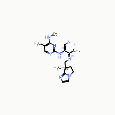 CCNc1nc(NC(=C/N)/C(C)=N\C[C@@]2(C)CCn3ccnc32)ncc1C(F)(F)F